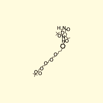 CC(OCc1ccc(CCCOCCOCCOCCOCC(=O)OC(C)(C)C)cc1)C(CCC(N)=O)NC(=O)OC(C)(C)C